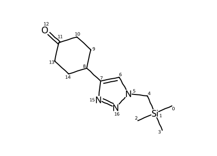 C[Si](C)(C)Cn1cc(C2CCC(=O)CC2)nn1